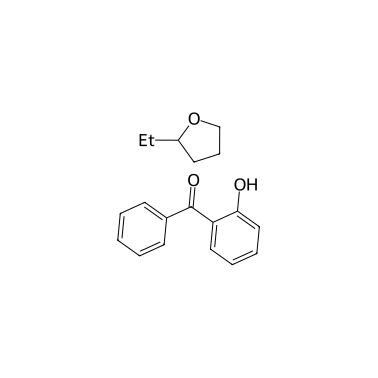 CCC1CCCO1.O=C(c1ccccc1)c1ccccc1O